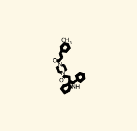 Cc1cccc(/C=C/C(=O)N2CCN(C(=O)Cc3c(-c4ccccc4)[nH]c4ccccc34)CC2)c1